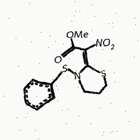 COC(=O)C(=C1SCCCN1Sc1ccccc1)[N+](=O)[O-]